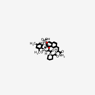 Cc1cc(C)c(S(=O)(=O)NC(CSCP(=O)(O)O)C(=O)N2CCCCC2C(=O)NC(Cc2ccc3ccccc3c2)C(N)=O)c(C)c1